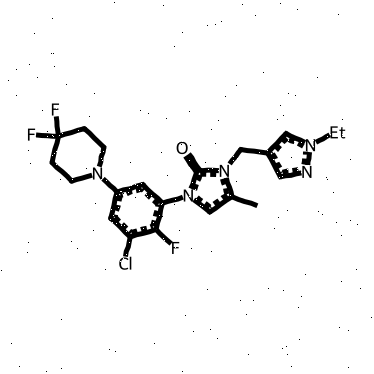 CCn1cc(Cn2c(C)cn(-c3cc(N4CCC(F)(F)CC4)cc(Cl)c3F)c2=O)cn1